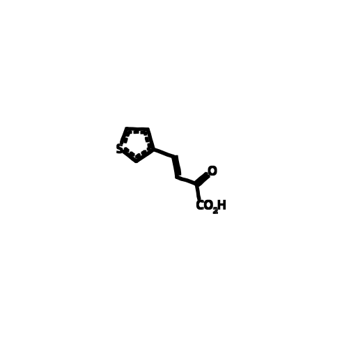 O=C(O)C(=O)/C=C/c1ccsc1